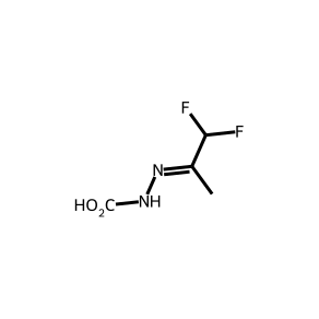 C/C(=N\NC(=O)O)C(F)F